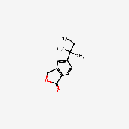 CCC(C)(C)c1ccc2c(c1)COC2=O